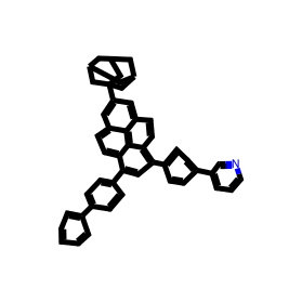 c1ccc(-c2ccc(-c3cc(-c4ccc(-c5cccnc5)cc4)c4ccc5cc(C67CC8CC(CC(C8)C6)C7)cc6ccc3c4c65)cc2)cc1